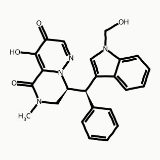 CN1C[C@H]([C@H](c2ccccc2)c2cn(CO)c3ccccc23)n2ncc(=O)c(O)c2C1=O